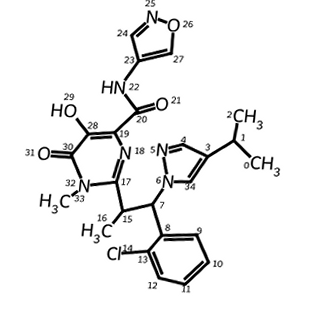 CC(C)c1cnn(C(c2ccccc2Cl)C(C)c2nc(C(=O)Nc3cnoc3)c(O)c(=O)n2C)c1